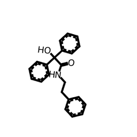 O=C(NCCc1ccccc1)C(O)(c1ccccc1)c1ccccc1